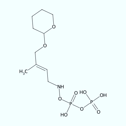 CC(=CCNOP(=O)(O)OP(=O)(O)O)COC1CCCCO1